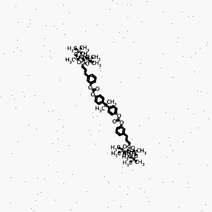 CC(C)(c1ccc(OC(=O)Oc2cccc(CCC[Si](C)(O[Si](C)(C)C)O[Si](C)(C)O[Si](C)(C)C)c2)cc1)c1ccc(OC(=O)Oc2cccc(CCC[Si](C)(O[Si](C)(C)C)O[Si](C)(C)O[Si](C)(C)C)c2)cc1